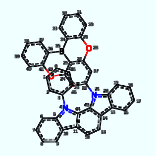 c1ccc(-n2c3ccccc3c3ccc4c5ccccc5n(-c5cc6c7c(c5)Oc5ccccc5B7c5ccccc5O6)c4c32)cc1